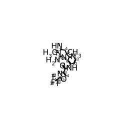 CN1C(=N)CC(C)(c2cc(NC(=O)c3coc(C(F)(F)F)n3)ccn2)N=C1N